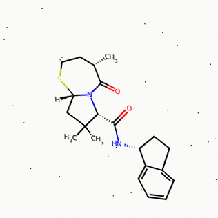 C[C@H]1CCS[C@H]2CC(C)(C)[C@@H](C(=O)N[C@@H]3CCc4ccccc43)N2C1=O